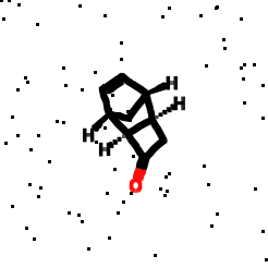 O=C1C[C@H]2[C@@H]1[C@@H]1C=C[C@H]2C1